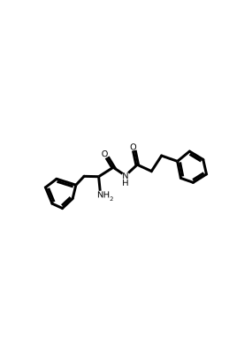 NC(Cc1ccccc1)C(=O)NC(=O)CCc1ccccc1